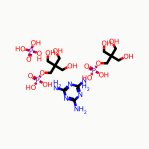 Nc1nc(N)nc(N)n1.O=P(O)(O)O.O=P(O)(O)OCC(CO)(CO)CO.O=P(O)(O)OCC(CO)(CO)CO